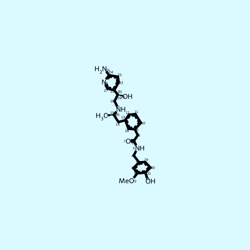 COc1cc(CNC(=O)Cc2cccc(C[C@@H](C)NC[C@H](O)c3ccc(N)nc3)c2)ccc1O